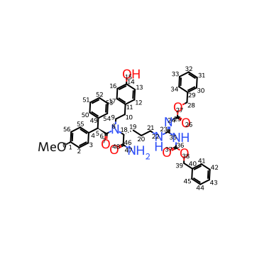 COc1ccc([C@H](C(=O)N(CCc2ccc(O)cc2)[C@H](CCCNC(=NC(=O)OCc2ccccc2)NC(=O)OCc2ccccc2)C(N)=O)c2ccccc2)cc1